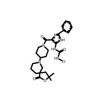 CCNC(=O)Nc1[nH]c(-c2ccccc2)nc1C(=O)N1CCC(N2CCCC3(C2)CC(C)(C)OC3=O)CC1